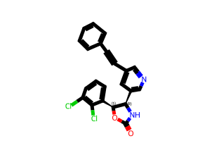 O=C1N[C@H](c2cncc(C#Cc3ccccc3)c2)[C@H](c2cccc(Cl)c2Cl)O1